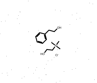 C[N+](C)(C)CCO.OCCc1ccccc1.[Cl-]